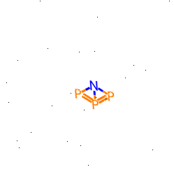 P1=P2=PN12